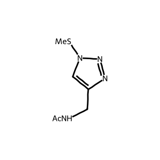 CSn1cc(CNC(C)=O)nn1